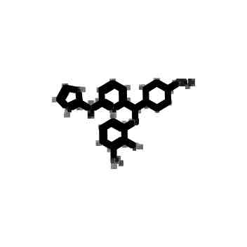 O=C(O)C1CCC(C(Oc2cccc(C(F)(F)F)c2F)c2cccc(Nc3nccs3)n2)CC1